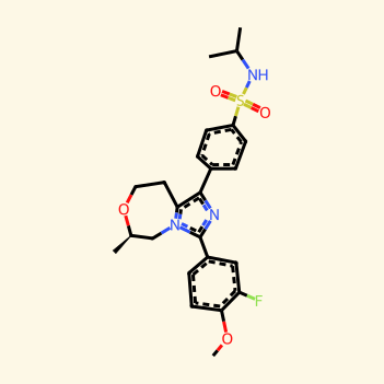 COc1ccc(-c2nc(-c3ccc(S(=O)(=O)NC(C)C)cc3)c3n2C[C@@H](C)OCC3)cc1F